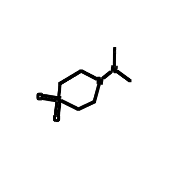 CN(C)N1CCS(=O)(=O)CC1